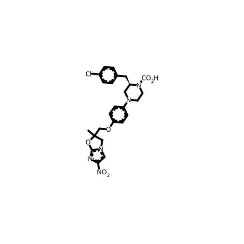 CC1(COc2ccc(N3CCN(C(=O)O)[C@H](Cc4ccc(Cl)cc4)C3)cc2)Cn2cc([N+](=O)[O-])nc2O1